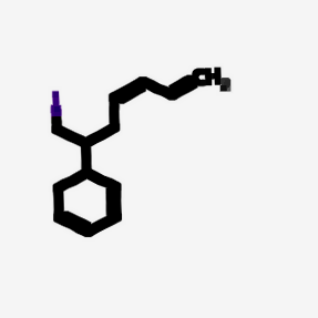 C=C/C=C\CC(CI)C1C=CC=CC1